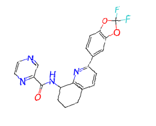 O=C(NC1CCCc2ccc(-c3ccc4c(c3)OC(F)(F)O4)nc21)c1cnccn1